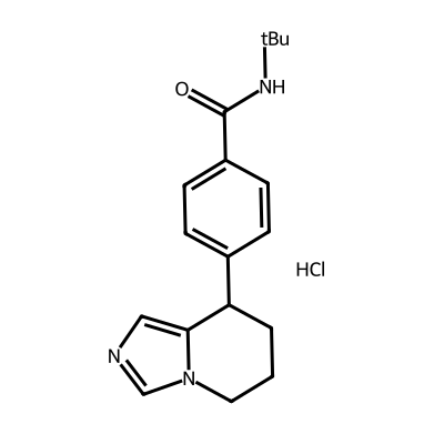 CC(C)(C)NC(=O)c1ccc(C2CCCn3cncc32)cc1.Cl